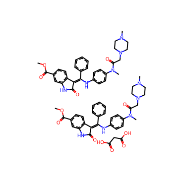 COC(=O)c1ccc2c(c1)NC(=O)/C2=C(\Nc1ccc(N(C)C(=O)CN2CCN(C)CC2)cc1)c1ccccc1.COC(=O)c1ccc2c(c1)NC(=O)/C2=C(\Nc1ccc(N(C)C(=O)CN2CCN(C)CC2)cc1)c1ccccc1.O=C(O)CC(=O)O